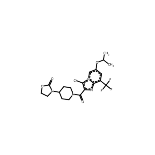 CC(C)Oc1cc(C(F)(F)F)c2nc(C(=O)N3CCC(N4CCOC4=O)CC3)c(Cl)n2c1